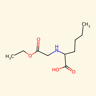 CCCCC(NCC(=O)OCC)C(=O)O